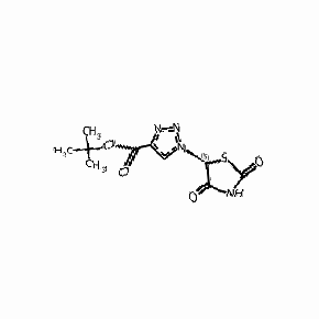 CC(C)(C)OC(=O)c1cn([C@H]2SC(=O)NC2=O)nn1